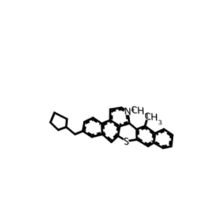 Cc1c2c(cc3ccccc13)Sc1cc3cc(CC4CCCC4)ccc3c3cc[n+](C)c-2c13